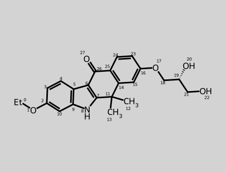 CCOc1ccc2c3c([nH]c2c1)C(C)(C)c1cc(OC[C@H](O)CO)ccc1C3=O